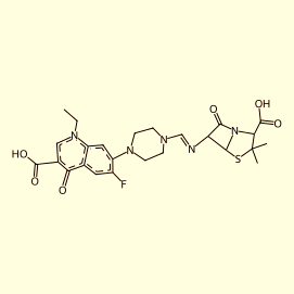 CCn1cc(C(=O)O)c(=O)c2cc(F)c(N3CCN(C=NC4C(=O)N5C4SC(C)(C)C5C(=O)O)CC3)cc21